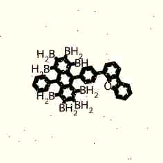 Bc1c(B)c(B)c2c(-c3ccc(-c4cccc5c4oc4ccccc45)cc3)c3c(B)c(B)c(B)c(B)c3c(-c3ccccc3)c2c1B